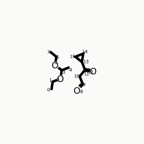 CCOC(C)OCC.O=CCC(=O)C1CC1